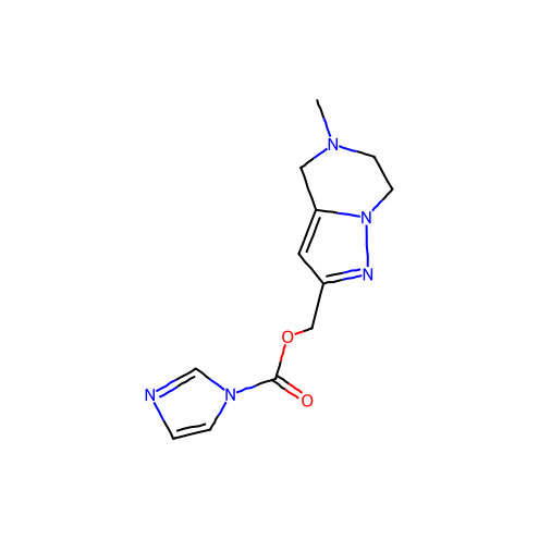 CN1CCn2nc(COC(=O)n3ccnc3)cc2C1